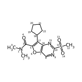 CN(C)C(=O)c1oc2cnc(S(C)(=O)=O)nc2c1C1CCCC1